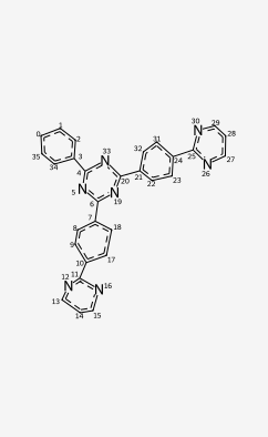 c1ccc(-c2nc(-c3ccc(-c4ncccn4)cc3)nc(-c3ccc(-c4ncccn4)cc3)n2)cc1